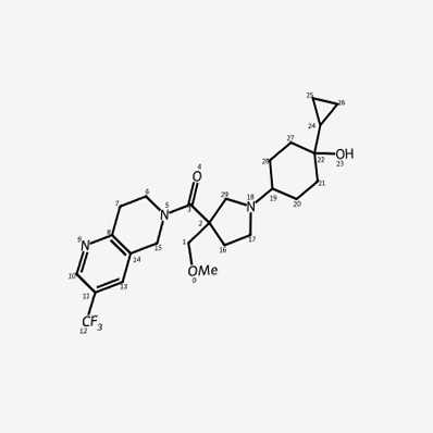 COCC1(C(=O)N2CCc3ncc(C(F)(F)F)cc3C2)CCN(C2CCC(O)(C3CC3)CC2)C1